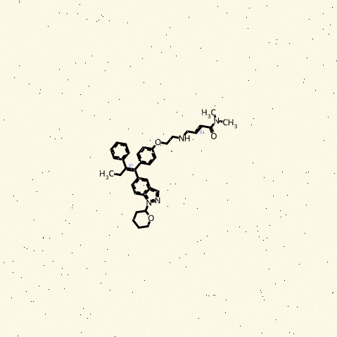 CC/C(=C(/c1ccc(OCCNC/C=C/C(=O)N(C)C)cc1)c1ccc2c(cnn2C2CCCCO2)c1)c1ccccc1